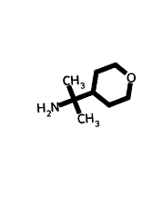 CC(C)(N)C1CCOCC1